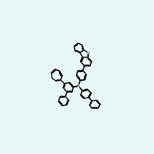 C1=CCC=C(c2cc(-c3ccccc3)cc(N(c3ccc(-c4ccccc4)cc3)c3ccc(-c4ccc5oc6ccccc6c5c4)cc3)c2)C=C1